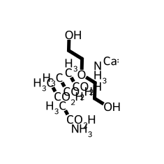 CC(=O)O.CC(=O)O.CC(=O)O.CC(=O)O.N.N.OCCOCCO.[Ca]